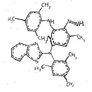 Cc1cc(C)c(Nc2nc(N(c3nc4ccccc4s3)c3c(C)cc(C)cc3C)cc(C)c2N=N)c(C)c1